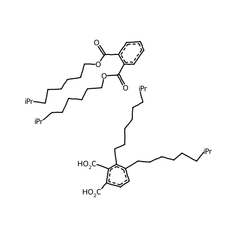 CC(C)CCCCCCOC(=O)c1ccccc1C(=O)OCCCCCCC(C)C.CC(C)CCCCCCc1ccc(C(=O)O)c(C(=O)O)c1CCCCCCC(C)C